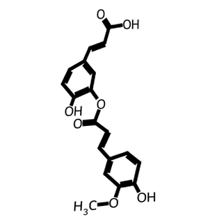 COc1cc(C=CC(=O)Oc2cc(C=CC(=O)O)ccc2O)ccc1O